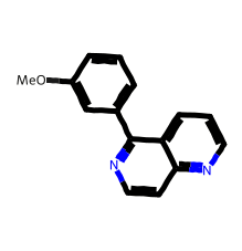 COc1cccc(-c2nccc3ncccc23)c1